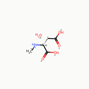 CN[C@H](CC(=O)O)C(=O)O.O